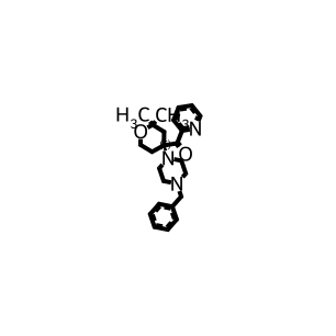 CC1(C)C[C@@](C(=O)c2ccccn2)(N2CCN(Cc3ccccc3)CC2)CCO1